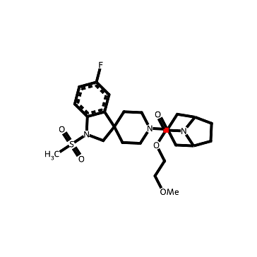 COCCOC(=O)N1C2CCC1CC(N1CCC3(CC1)CN(S(C)(=O)=O)c1ccc(F)cc13)C2